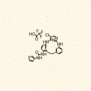 O=C(Nc1ccsc1)Nc1ccc2cc1CCc1cccc(c1)Nc1ncc(Cl)c(n1)N2.O=C(O)C(F)(F)F